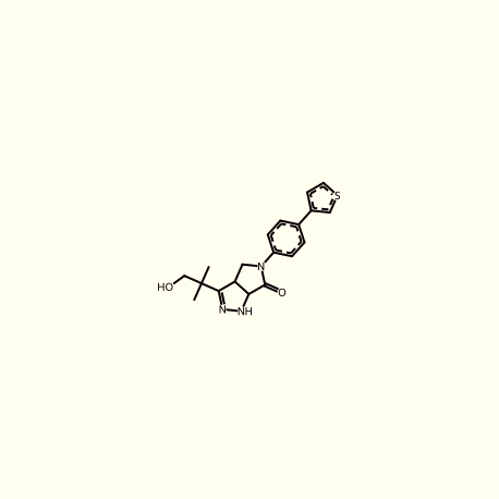 CC(C)(CO)C1=NNC2C(=O)N(c3ccc(-c4ccsc4)cc3)CC12